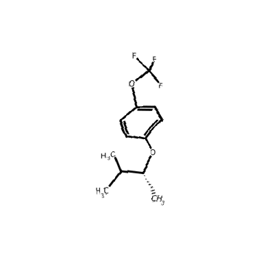 CC(C)[C@@H](C)Oc1ccc(OC(F)(F)F)cc1